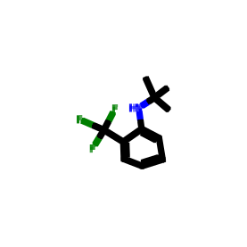 CC(C)(C)Nc1cc[c]cc1C(F)(F)F